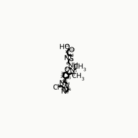 CCN(C(=O)NCc1nc(CC(=O)O)cs1)C(C)c1cccc(-c2cn3ccnc3c(Cl)n2)c1